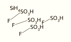 O=S(=O)(O)F.O=S(=O)(O)F.O=S(=O)(O)F.O=S(=O)(O)F.[SiH4]